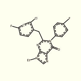 CCn1cnc2c(=O)n(-c3ccc(F)cc3)c(Cc3ccc(F)cc3Cl)nc21